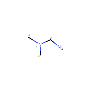 CN(C)C[N]